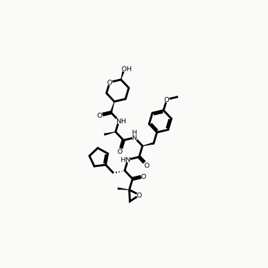 COc1ccc(C[C@H](NC(=O)[C@@H](C)NC(=O)[C@@H]2CC[C@H](O)OC2)C(=O)N[C@@H](CC2=CCCC2)C(=O)[C@@]2(C)CO2)cc1